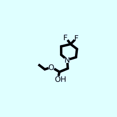 CCOC(O)CN1CCC(F)(F)CC1